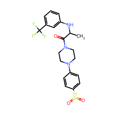 CC(Nc1cccc(C(F)(F)F)c1)C(=O)N1CCN(c2ccc([SH](=O)=O)cc2)CC1